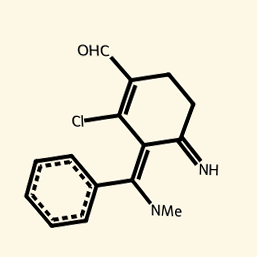 CN/C(=C1\C(=N)CCC(C=O)=C1Cl)c1ccccc1